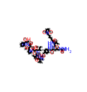 CCC(C)C(C(CC(=O)N1CCCC1C(OC)[C@@H](C)C(=O)NC(C)C(O)C1=CCCC=C1)OC)N(C)C(=O)[C@@H](NC(=O)C(C(C)C)N(C)C(=O)OCc1ccc(NC(=O)[C@H](CCCNC(N)=O)NC(=O)C(NC(=O)CCCCCN2C(=O)CCC2=O)C(C)C)cc1)C(C)C